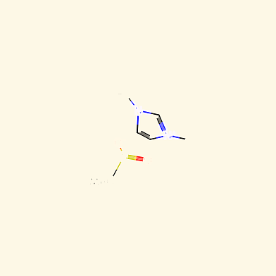 CCn1cc[n+](C)c1.COS(=O)[O-]